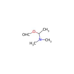 CC(OC=O)N(C)C